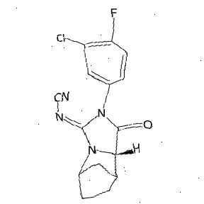 N#C/N=C1\N(c2ccc(F)c(Cl)c2)C(=O)[C@@H]2C3CCC(C3)N12